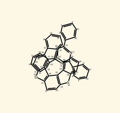 c1ccc(-c2nc(-c3ccccc3)nc(-c3cccc4oc5ccc6sc7cccc(-n8c9ccccc9c9ccccc98)c7c6c5c34)n2)cc1